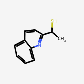 CC(S)c1ccc2ccccc2n1